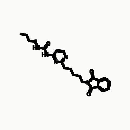 CCCSNC(=O)Nc1ccnc(CCCCCN2C(=O)c3ccccc3C2=O)n1